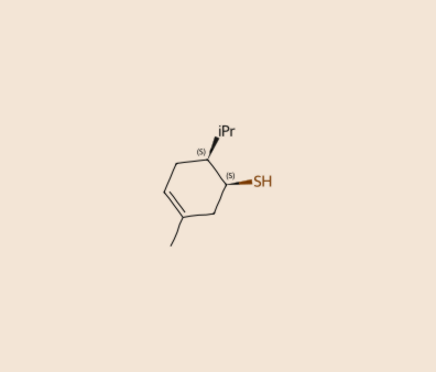 CC1=CC[C@@H](C(C)C)[C@@H](S)C1